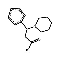 O=C(O)CC(c1ccccc1)N1CCCCC1